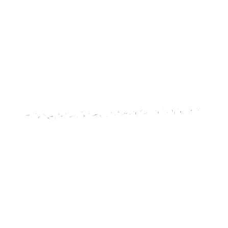 COCCOCCOCCOCCOCCOCCOCCCCOCCOCCOCCOCCOCCOCCOCCO